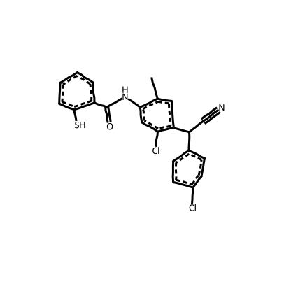 Cc1cc(C(C#N)c2ccc(Cl)cc2)c(Cl)cc1NC(=O)c1ccccc1S